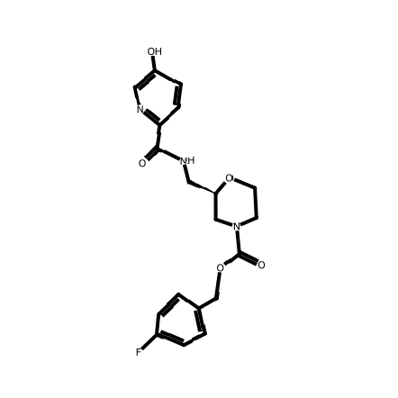 O=C(NC[C@@H]1CN(C(=O)OCc2ccc(F)cc2)CCO1)c1ccc(O)cn1